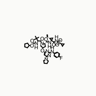 C=C[C@@H]1C[C@]1(NC(=O)[C@@H]1C[C@@H](Oc2cc(N3CCCC3)nc(Nc3ccc(F)cc3)n2)CN1C(=O)[C@@H](NC(=O)OC1CCCC1)C(C)(C)C)C(=O)NS(=O)(=O)C1CC1